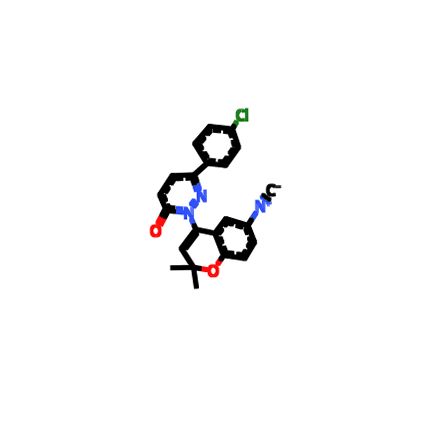 [C-]#[N+]c1ccc2c(c1)C(n1nc(-c3ccc(Cl)cc3)ccc1=O)=CC(C)(C)O2